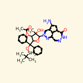 CC(=O)OC1C(C(O[SiH2]C(C)(C)C)(c2ccccc2)c2ccccc2)OC(n2cc3c(N)cc4c(=O)[nH]ncc(n2)c34)C1(C)O